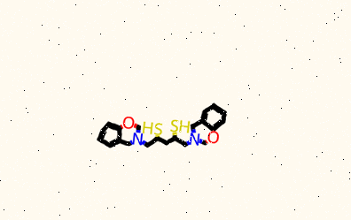 SC(CC(S)CN1COc2ccccc2C1)CN1COc2ccccc2C1